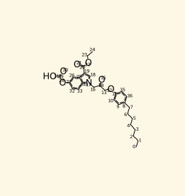 CCCCCCCCc1ccc(OCC(=O)Cn2cc(C(=O)OCC)c3cc(OC(=O)O)ccc32)cc1